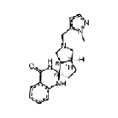 Cn1nccc1CN1C[C@H]2CC[C@]3(NC(=O)c4ccccc4N3)[C@H]2C1